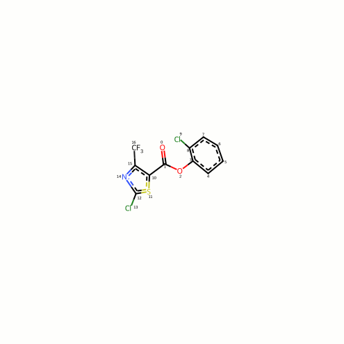 O=C(Oc1ccccc1Cl)c1sc(Cl)nc1C(F)(F)F